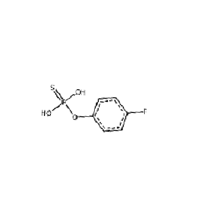 OP(O)(=S)Oc1ccc(F)cc1